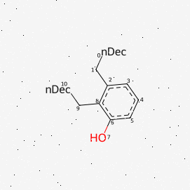 CCCCCCCCCCCc1cccc(O)c1CCCCCCCCCCC